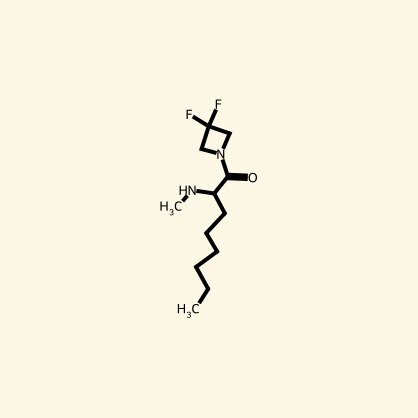 CCCCCCC(NC)C(=O)N1CC(F)(F)C1